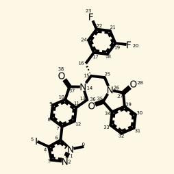 Cn1ncc(I)c1-c1ccc2c(c1)CN([C@H](Cc1cc(F)cc(F)c1)CN1C(=O)c3ccccc3C1=O)C2=O